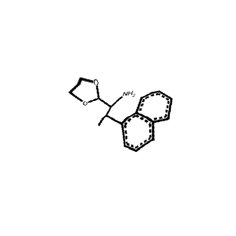 CC(c1cccc2ccccc12)C(N)C1OCCO1